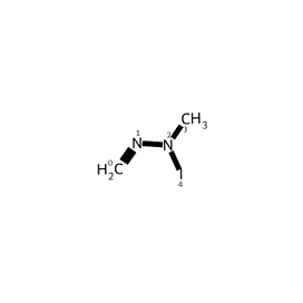 C=NN(C)I